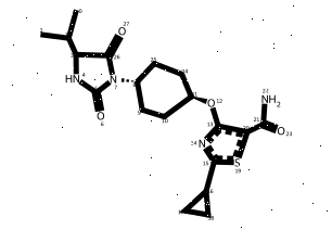 CC(C)C1NC(=O)N([C@H]2CC[C@H](Oc3nc(C4CC4)sc3C(N)=O)CC2)C1=O